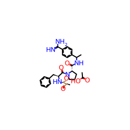 CC(=O)O.CC(NC(=O)[C@@H]1CCCN1C(=O)[C@H](Cc1ccccc1)NS(C)(=O)=O)c1ccc(C(=N)N)cc1